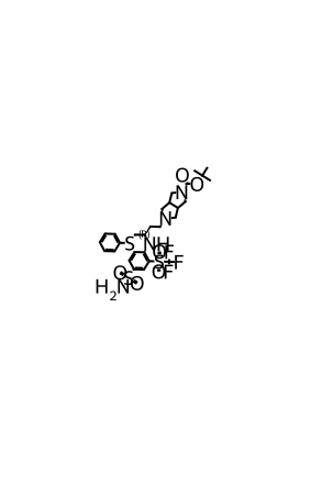 CC(C)(C)OC(=O)N1CC2CN(CC[C@H](CSc3ccccc3)Nc3ccc(S(N)(=O)=O)cc3S(=O)(=O)C(F)(F)F)CC2C1